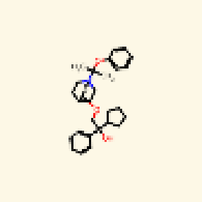 CC(C)(Oc1ccccc1)[N+]12CCC(CC1)C(OCC(O)(c1ccccc1)C1CCCC1)C2